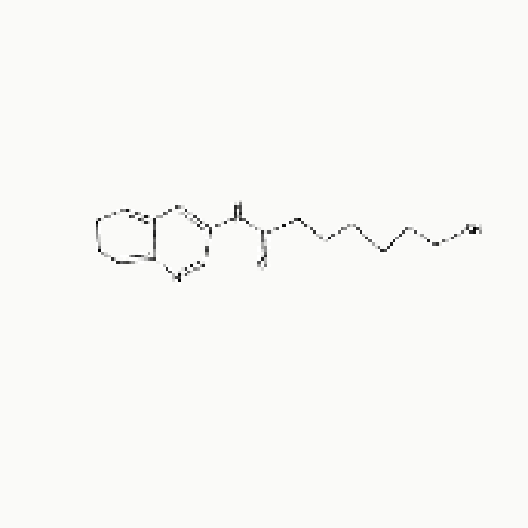 O=C(CCCCCCS)Nc1cnc2c(c1)=CCCC=2